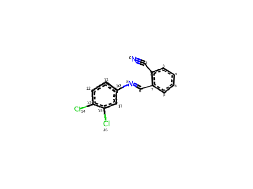 N#Cc1ccccc1/C=N/c1ccc(Cl)c(Cl)c1